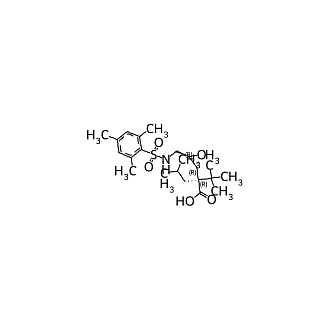 Cc1cc(C)c(S(=O)(=O)NC[C@H]2O[C@@H]2[C@](CC(C)C)(C(=O)O)C(C)(C)C)c(C)c1